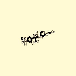 CCS(=O)(=O)Nc1ccc(-c2n[nH]c(Nc3ccnc(OCCOC)c3)c2C(N)=O)cc1